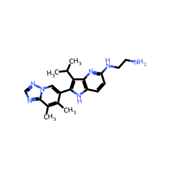 Cc1c(-c2[nH]c3ccc(NCCN)nc3c2C(C)C)cn2ncnc2c1C